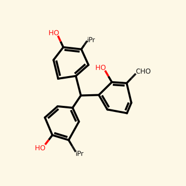 CC(C)c1cc(C(c2ccc(O)c(C(C)C)c2)c2cccc(C=O)c2O)ccc1O